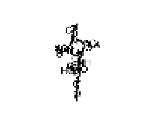 CCOCCOCCCNC(=O)[C@@H](CS(=O)(=O)O)NC(=O)CN1CCN(COC(=O)C(C)(C)C)CCN(COC(=O)C(C)(C)C)CCN(CC(=O)OC(C)(C)C)CC1